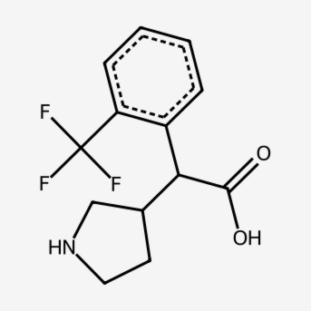 O=C(O)C(c1ccccc1C(F)(F)F)C1CCNC1